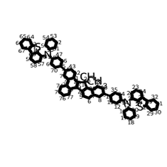 CC1(C)c2c(ccc3cc(-c4ccc(N(c5ccccc5)c5cccc6c5sc5ccccc56)cc4)ccc23)-c2c1c1ccc(-c3ccc(N(c4ccccc4)c4cccc5c4sc4ccccc45)cc3)cc1c1ccccc21